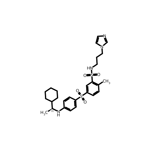 Cc1ccc(S(=O)(=O)c2ccc(N[C@@H](C)C3CCCCC3)cc2)cc1S(=O)(=O)NCCCn1ccnc1